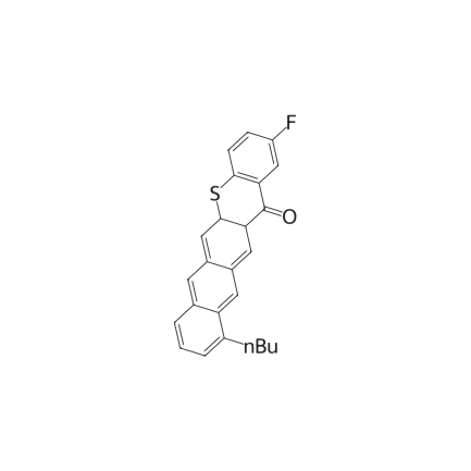 CCCCc1cccc2cc3c(cc12)=CC1C(=O)c2cc(F)ccc2SC1C=3